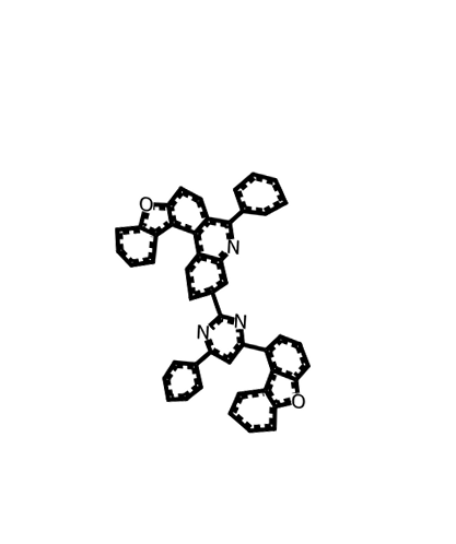 c1ccc(-c2cc(-c3cccc4oc5ccccc5c34)nc(-c3ccc4c(c3)nc(-c3ccccc3)c3ccc5oc6ccccc6c5c34)n2)cc1